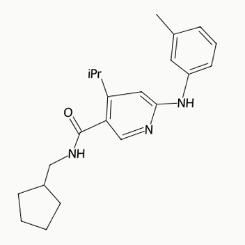 Cc1cccc(Nc2cc(C(C)C)c(C(=O)NCC3CCCC3)cn2)c1